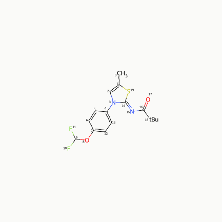 Cc1cn(-c2ccc(OC(F)F)cc2)c(=NC(=O)C(C)(C)C)s1